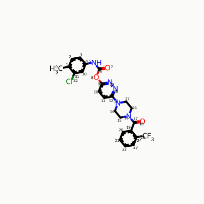 Cc1ccc(NC(=O)Oc2ccc(N3CCN(C(=O)c4ccccc4C(F)(F)F)CC3)nn2)cc1Cl